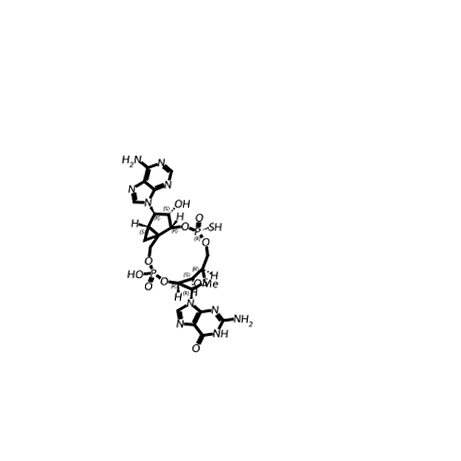 CO[C@H]1[C@H]2OP(=O)(O)OCC34C[C@@H]3[C@@H](n3cnc5c(N)ncnc53)[C@H](O)[C@@H]4O[P@](=O)(S)OC[C@H]1S[C@H]2n1cnc2c(=O)[nH]c(N)nc21